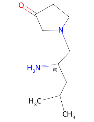 CC(C)C[C@H](N)CN1CCC(=O)C1